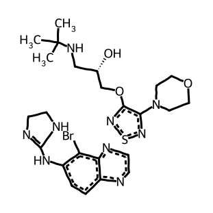 Brc1c(NC2=NCCN2)ccc2nccnc12.CC(C)(C)NC[C@H](O)COc1nsnc1N1CCOCC1